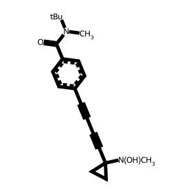 CN(C(=O)c1ccc(C#CC#CC2(N(C)O)CC2)cc1)C(C)(C)C